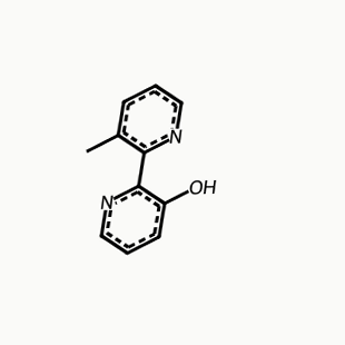 Cc1cccnc1-c1ncccc1O